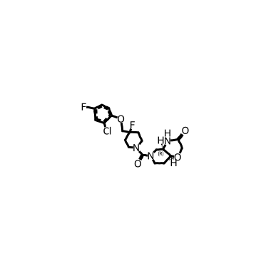 O=C1CO[C@H]2CCN(C(=O)N3CCC(F)(COc4ccc(F)cc4Cl)CC3)C[C@H]2N1